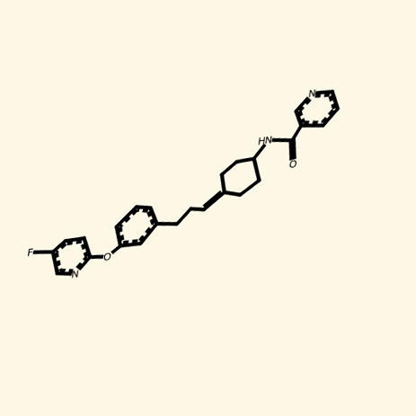 O=C(NC1CCC(=CCCc2cccc(Oc3ccc(F)cn3)c2)CC1)c1cccnc1